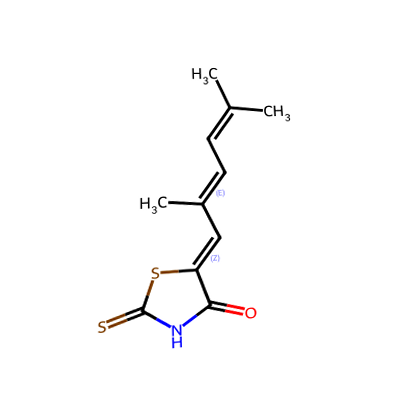 CC(C)=C/C=C(C)/C=C1\SC(=S)NC1=O